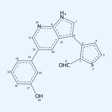 O=Cc1sccc1-c1c[nH]c2ncc(-c3cccc(O)c3)cc12